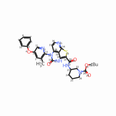 Cc1cc(Oc2ccccc2)cnc1N1C(=O)Nc2c(C(=O)NC3CCCN(C(=O)OC(C)(C)C)C3)sc3nccc1c23